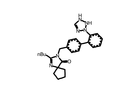 CCCCC1=NC2(CCCC2)C(=O)N1Cc1ccc(-c2ccccc2N2N=CNN2)cc1